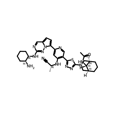 CC(=O)N[C@@H]1[C@@H]2CCC[C@H]1CN(c1nnc(-c3cnc(-c4ccc5cnc(N[C@@H]6CCCC[C@@H]6N)nn45)cc3N[C@H](C)C#N)s1)C2